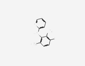 N#Cc1c(F)ccc([N+](=O)[O-])c1Nc1ccccn1